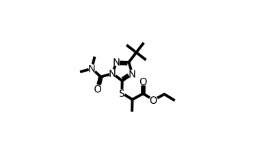 CCOC(=O)C(C)Sc1nc(C(C)(C)C)nn1C(=O)N(C)C